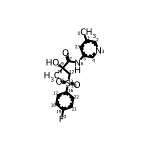 Cc1cncc(NC(=O)[C@@](C)(O)CS(=O)(=O)c2ccc(F)cc2)c1